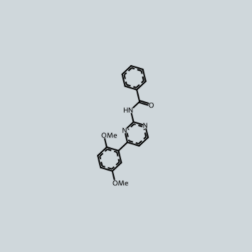 COc1ccc(OC)c(-c2ccnc(NC(=O)c3ccccc3)n2)c1